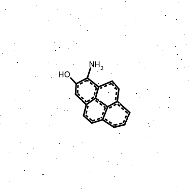 Nc1c(O)cc2ccc3cccc4ccc1c2c34